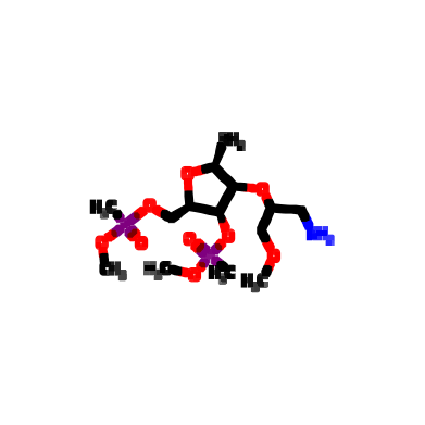 B[C@@H]1O[C@H](COP(C)(=O)OC)[C@H](OP(C)(=O)OC)C1OC(CN)COC